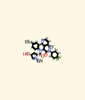 CC(C)(C)c1ccc(N(C(=O)[C@H]2C[C@@H](O)CN2C#N)C(C(=O)NC2CCC(F)(F)CC2)c2cnccc2C(F)(F)F)cc1